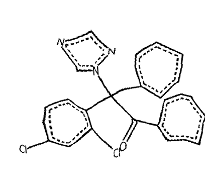 O=C(c1ccccc1)C(c1ccccc1)(c1ccc(Cl)cc1Cl)n1cncn1